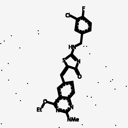 CCOc1nc(NC)nc2ccc(C=C3SC(NCc4ccc(F)c(Cl)c4)=NC3=O)cc12